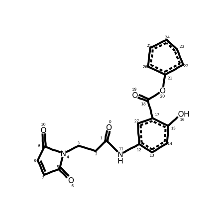 O=C(CCN1C(=O)C=CC1=O)Nc1ccc(O)c(C(=O)Oc2ccccc2)c1